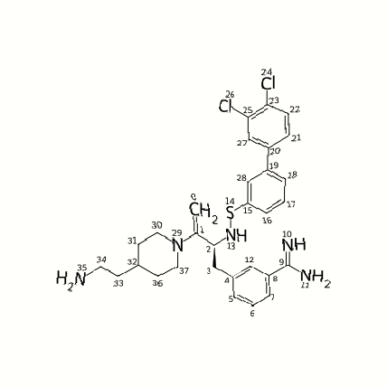 C=C([C@H](Cc1cccc(C(=N)N)c1)NSc1cccc(-c2ccc(Cl)c(Cl)c2)c1)N1CCC(CCN)CC1